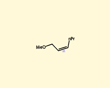 CCC/C=C\COC